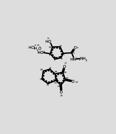 Cl.NNC(=O)c1ccc(O)c(O)c1.O.O=c1c(=O)c2ccccc2c1=O